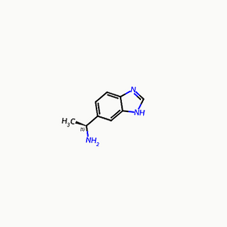 C[C@H](N)c1ccc2nc[nH]c2c1